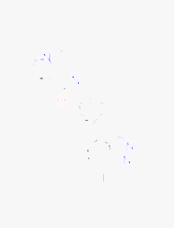 [2H]C1([2H])c2ncccc2C(=O)N1Cc1ccc(-c2ccc(F)c3nn(C)cc23)cc1C